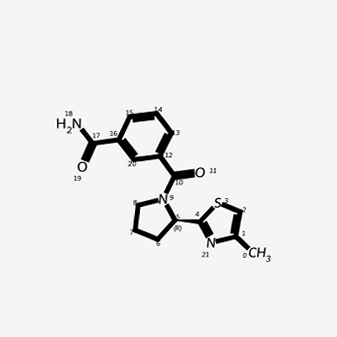 Cc1csc([C@H]2CCCN2C(=O)c2cccc(C(N)=O)c2)n1